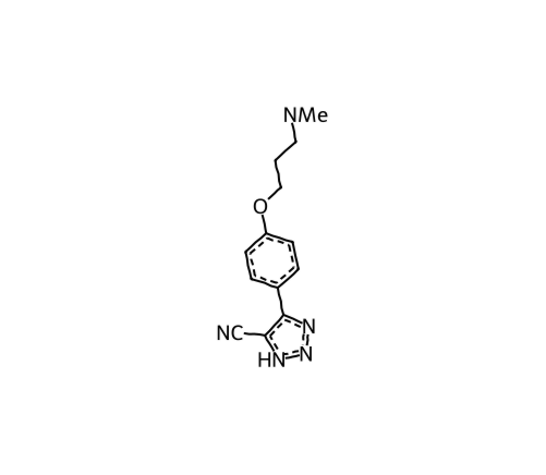 CNCCCOc1ccc(-c2nn[nH]c2C#N)cc1